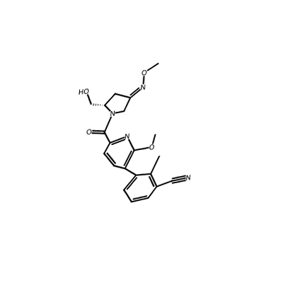 CO/N=C1\C[C@@H](CO)N(C(=O)c2ccc(-c3cccc(C#N)c3C)c(OC)n2)C1